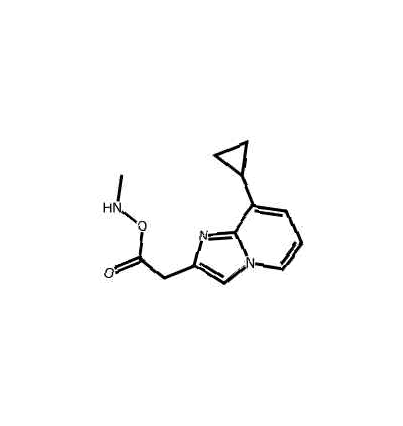 CNOC(=O)Cc1cn2cccc(C3CC3)c2n1